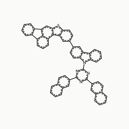 c1ccc2c(c1)-c1cccc3c1c-2cc1sc2ccc(-c4ccc5c(c4)c4ccccc4n5-c4nc(-c5ccc6ccccc6c5)nc(-c5ccc6ccccc6c5)n4)cc2c13